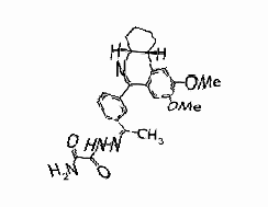 COc1cc2c(cc1OC)[C@H]1CCCC[C@H]1N=C2c1cccc(/C(C)=N\NC(=O)C(N)=O)c1